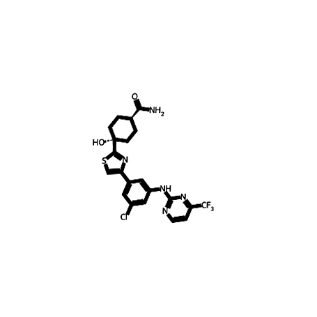 NC(=O)[C@H]1CC[C@@](O)(c2nc(-c3cc(Cl)cc(Nc4nccc(C(F)(F)F)n4)c3)cs2)CC1